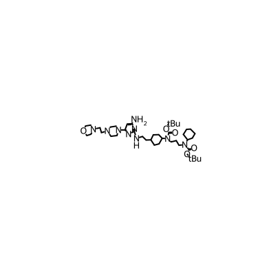 CC(C)(C)OC(=O)N(CCCN(C(=O)OC(C)(C)C)C1CCC(CCNc2nc(N)cc(N3CCN(CCN4CCOCC4)CC3)n2)CC1)C1CCCCC1